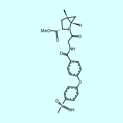 COC(=O)[C@@H]1C[C@]2(C)C[C@@H]2N1C(=O)CNC(=O)c1ccc(Oc2ccc(S(C)(=N)=O)cc2)cc1